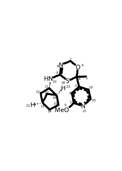 COc1cc(C2(C)OCN=C(N[C@H]3C[C@@H]4CC[C@H]3C4)S2)ccn1